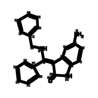 Nc1ccc2c(c1)C(=C(NCc1ccccc1)c1ccccc1)C(=O)N2